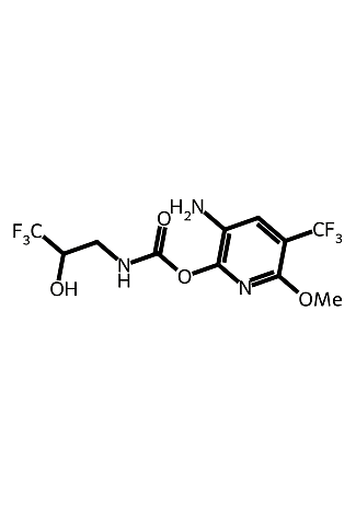 COc1nc(OC(=O)NCC(O)C(F)(F)F)c(N)cc1C(F)(F)F